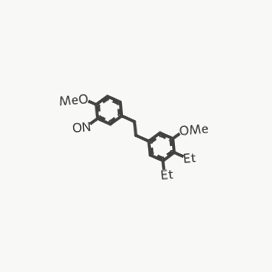 CCc1cc(CCc2ccc(OC)c(N=O)c2)cc(OC)c1CC